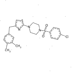 Cc1ccc(Cc2csc(N3CCN(S(=O)(=O)c4ccc(Cl)cc4)CC3)n2)cc1C